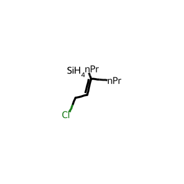 CCCC(=CCCl)CCC.[SiH4]